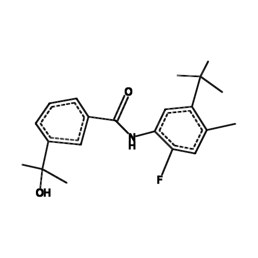 Cc1cc(F)c(NC(=O)c2cccc(C(C)(C)O)c2)cc1C(C)(C)C